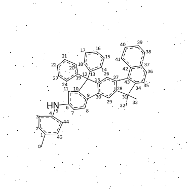 Cc1ccc(Nc2ccc3c(c2)C(c2ccccc2)(c2ccccc2)c2cc4c(cc2-3)C(C)(C)c2ccc3ccccc3c2-4)cc1